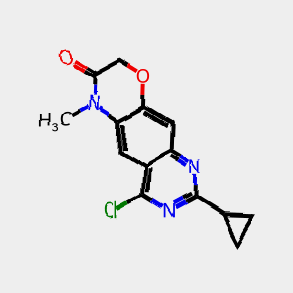 CN1C(=O)COc2cc3nc(C4CC4)nc(Cl)c3cc21